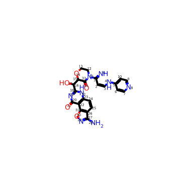 N=C(/C=C\Nc1ccncc1)N1CCOC(C(O)c2nc(=O)c3c(ccc4c(N)noc43)[nH]2)C1=O